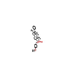 CCOc1ccc(COC2(O)CCC3(C)C(=CCC4C3CCC3(C)C4CCC3(Cc3ccccc3)C(C)=O)C2)cc1